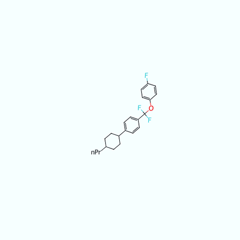 CCCC1CCC(c2ccc(C(F)(F)Oc3ccc(F)cc3)cc2)CC1